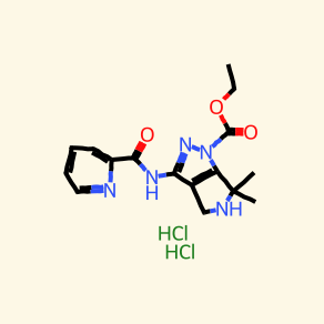 CCOC(=O)n1nc(NC(=O)c2ccccn2)c2c1C(C)(C)NC2.Cl.Cl